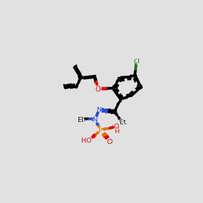 C=CC(=C)COc1cc(Cl)ccc1C(CC)=NN(CC)P(=O)(O)O